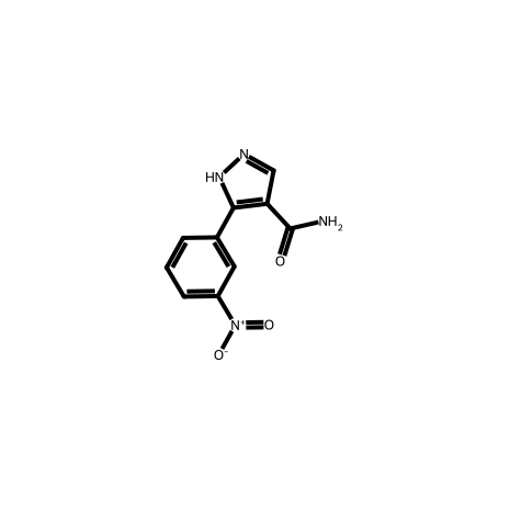 NC(=O)c1cn[nH]c1-c1cccc([N+](=O)[O-])c1